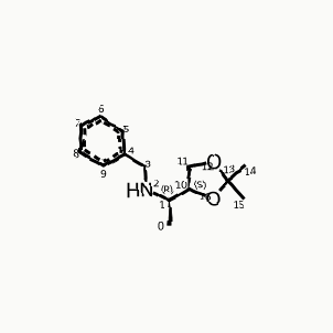 C[C@@H](NCc1ccccc1)[C@H]1COC(C)(C)O1